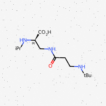 CC(C)N[C@H](CNC(=O)CCNC(C)(C)C)C(=O)O